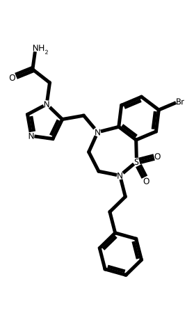 NC(=O)Cn1cncc1CN1CCN(CCc2ccccc2)S(=O)(=O)c2cc(Br)ccc21